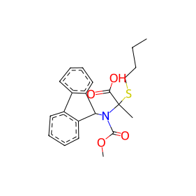 CCCCSC(C)(C(=O)O)N(C(=O)OC)C1c2ccccc2-c2ccccc21